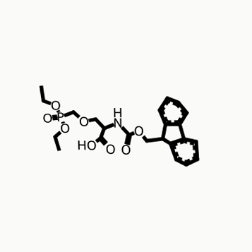 CCOP(=O)(COCC(NC(=O)OCC1c2ccccc2-c2ccccc21)C(=O)O)OCC